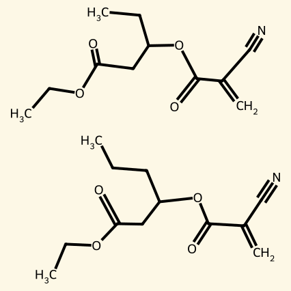 C=C(C#N)C(=O)OC(CC)CC(=O)OCC.C=C(C#N)C(=O)OC(CCC)CC(=O)OCC